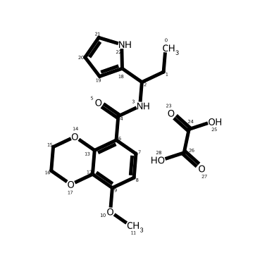 CCC(NC(=O)c1ccc(OC)c2c1OCCO2)c1ccc[nH]1.O=C(O)C(=O)O